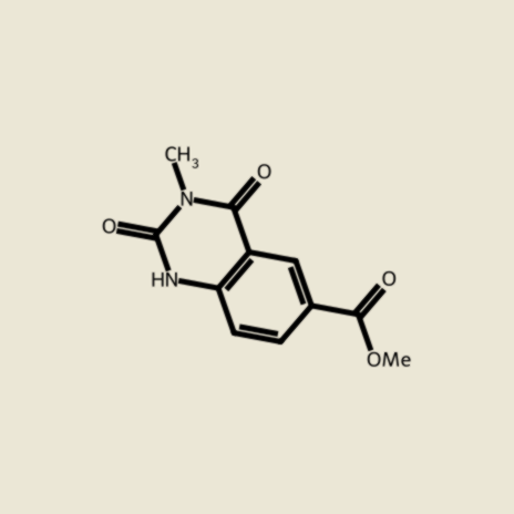 COC(=O)c1ccc2[nH]c(=O)n(C)c(=O)c2c1